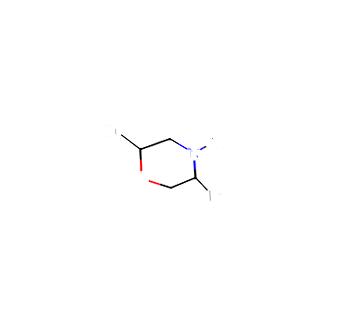 CCC1CN(C(C)=O)C(CC)CO1